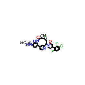 C[C@H]1C(=O)Nc2cc(NC(=O)O)ccc2-c2ccnc(c2)[C@@H](N2CCC(c3c(F)ccc(Cl)c3F)=CC2=O)CCC1F